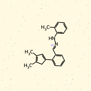 CC1=C(C)CC(c2ccccc2/C=N/Nc2ccccc2C)=C1